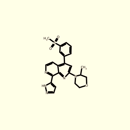 CC1COCCN1c1cc(-c2cccc(S(C)(=O)=O)c2)c2ccnc(-c3ccn[nH]3)c2n1